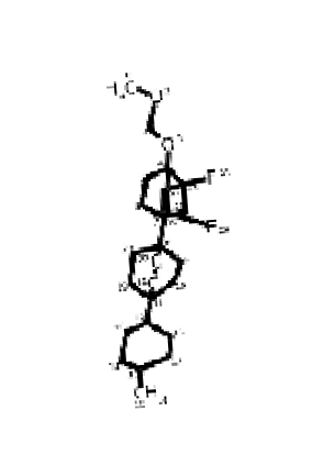 COCOC12CCC(C34CCC(C5CCC(C)CC5)(CC3)CC4)(CC1)C(F)=C2F